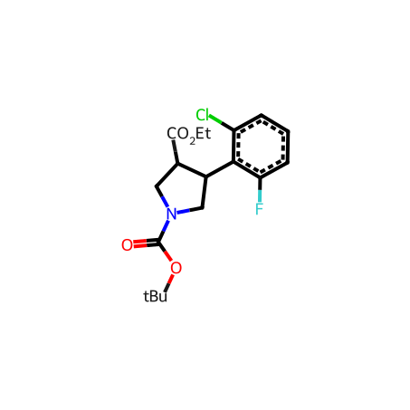 CCOC(=O)C1CN(C(=O)OC(C)(C)C)CC1c1c(F)cccc1Cl